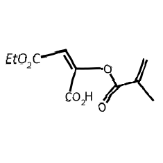 C=C(C)C(=O)O/C(=C/C(=O)OCC)C(=O)O